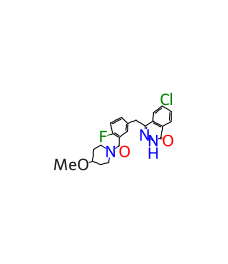 COC1CCN(C(=O)c2cc(Cc3n[nH]c(=O)c4ccc(Cl)cc34)ccc2F)CC1